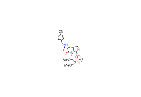 COCN(COC)S(=O)(=O)C1(COc2nccc3cc(C(=O)NCc4ccc(C#N)cc4)c(=O)n(C)c23)CC1